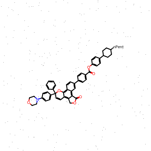 CCCCCC1CCC(c2ccc(OC(=O)c3ccc(-c4ccc5c6c(c7c(c5c4)C(=O)OC7)C=CC(c4ccccc4)(c4ccc(N5CCOCC5)cc4)O6)cc3)cc2)CC1